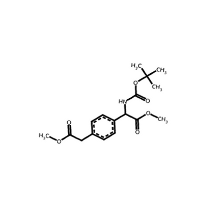 COC(=O)Cc1ccc(C(NC(=O)OC(C)(C)C)C(=O)OC)cc1